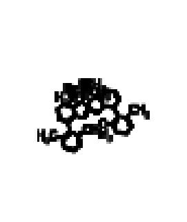 Cc1cccc(C)c1-c1cccc2c1C=C[CH]2[Hf]([CH3])([CH3])(=[SiH2])([CH](C)C)([CH](C)C)[CH]1C=Cc2c(-c3c(C)cccc3C)cccc21